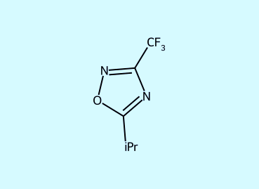 CC(C)c1nc(C(F)(F)F)no1